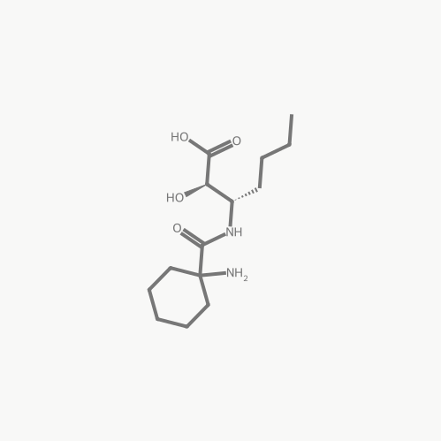 CCCC[C@H](NC(=O)C1(N)CCCCC1)[C@@H](O)C(=O)O